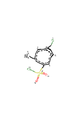 N#Cc1cc(Cl)ccc1S(=O)(=O)Cl